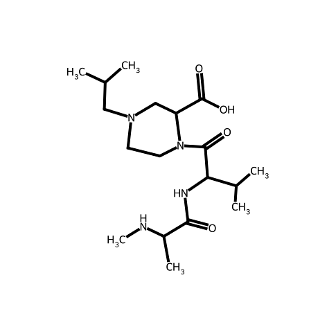 CNC(C)C(=O)NC(C(=O)N1CCN(CC(C)C)CC1C(=O)O)C(C)C